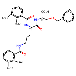 CC(=O)Oc1cccc(C(=O)NCCC[C@H](NC(=O)c2cccc(OC(C)=O)c2OC(C)=O)C(=O)N[C@@H](COCc2ccccc2)C(=O)O)c1OC(C)=O